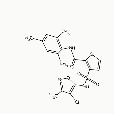 Cc1cc(C)c(NC(=O)c2sccc2S(=O)(=O)Nc2onc(C)c2Cl)c(C)c1